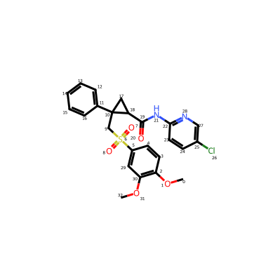 COc1ccc(S(=O)(=O)CC2(c3ccccc3)CC2C(=O)Nc2ccc(Cl)cn2)cc1OC